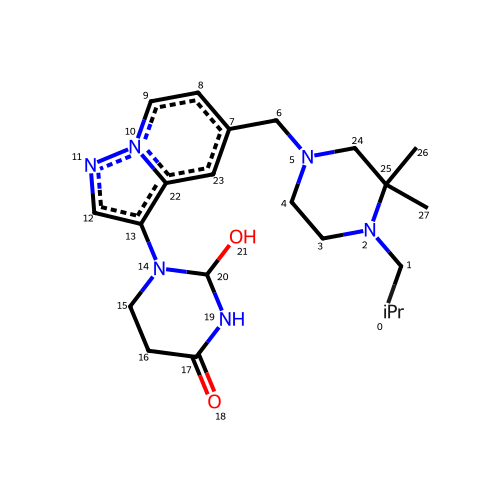 CC(C)CN1CCN(Cc2ccn3ncc(N4CCC(=O)NC4O)c3c2)CC1(C)C